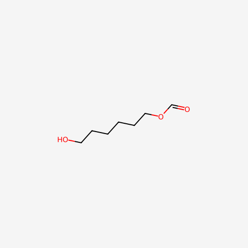 O=COCCCCCCO